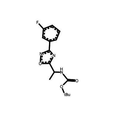 CC(NC(=O)OC(C)(C)C)c1nc(-c2cccc(F)c2)no1